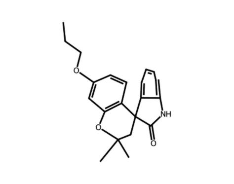 CCCOc1ccc2c(c1)OC(C)(C)CC21C(=O)Nc2ccccc21